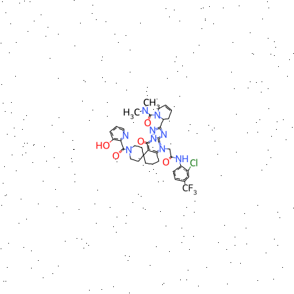 CN(C)C(=O)N1CC=CCC1c1nc2n(CC(=O)Nc3ccc(C(F)(F)F)cc3Cl)c3c(c(=O)n2n1)C1(CCC3)CCN(C(=O)c2ncccc2O)CC1